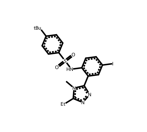 CCc1nnc(-c2cc(I)ccc2NS(=O)(=O)c2ccc(C(C)(C)C)cc2)n1C